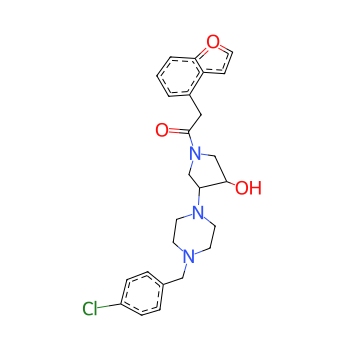 O=C(Cc1cccc2occc12)N1CC(O)C(N2CCN(Cc3ccc(Cl)cc3)CC2)C1